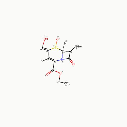 CC(=O)NC1C(=O)N2C(C(=O)OCC(Cl)(Cl)Cl)=C(C)C(=CO)[S+]([O-])[C@@H]12